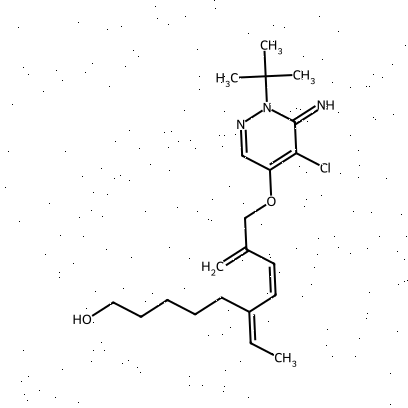 C=C(/C=C\C(=C/C)CCCCCO)COc1cnn(C(C)(C)C)c(=N)c1Cl